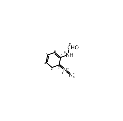 [N-]=[N+]=C1CC=CC=C1NC=O